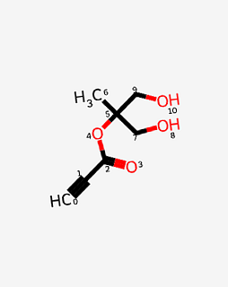 C#CC(=O)OC(C)(CO)CO